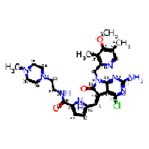 COc1c(C)cnc(CN2C(=O)C(=Cc3ccc(C(=O)NCCN4CCN(C)CC4)[nH]3)c3c(Cl)nc(N)nc32)c1C